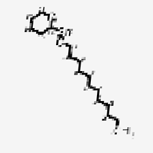 CCCCCCCCCCCC[O][Sn][CH]1CCCCO1